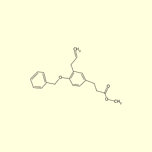 C=CCc1cc(CCC(=O)OC)ccc1OCc1ccccc1